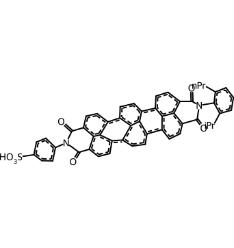 CCCc1cccc(C(C)C)c1N1C(=O)c2ccc3c4ccc5c6ccc7c8c(ccc(c9ccc(c%10ccc(c2c3%10)C1=O)c4c59)c86)C(=O)N(c1ccc(S(=O)(=O)O)cc1)C7=O